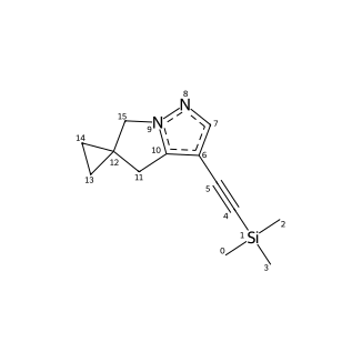 C[Si](C)(C)C#Cc1cnn2c1CC1(CC1)C2